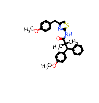 COc1ccc(Cc2csc(NC(=O)C(C)(C)C(c3ccccc3)c3ccc(OC)cc3)n2)cc1